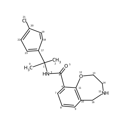 CC(C)(NC(=O)c1cccc2c1OCCNC2)c1ccc(Cl)cc1